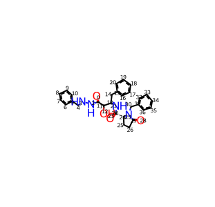 O=C(NNCc1ccccc1)C(O)C(Cc1ccccc1)NC(=O)[C@H]1CCC(=O)N1Cc1ccccc1